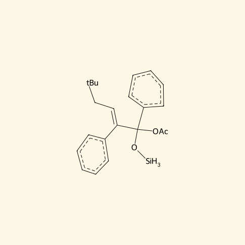 CC(=O)OC(O[SiH3])(C(=CCC(C)(C)C)c1ccccc1)c1ccccc1